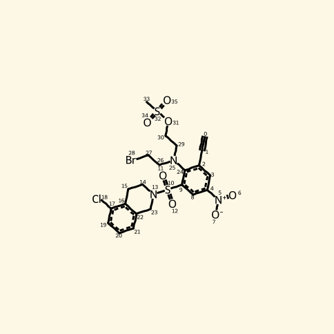 C#Cc1cc([N+](=O)[O-])cc(S(=O)(=O)N2CCc3c(Cl)cccc3C2)c1N(CCBr)CCOS(C)(=O)=O